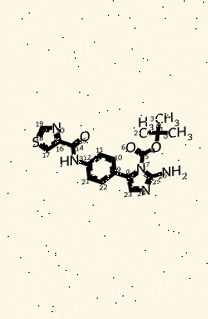 CC(C)(C)OC(=O)n1c(-c2ccc(NC(=O)c3cscn3)cc2)cnc1N